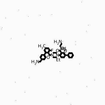 CCOc1c(-c2ccccc2)ccc(N2CCN(C(=O)c3c(F)cc(C)cc3-c3ccc(CN)cc3)C[C@H]2CC)c1C(=O)NCCN